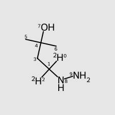 [2H]C([2H])(CC(C)(C)O)NN